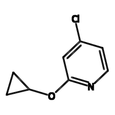 Clc1ccnc(OC2CC2)c1